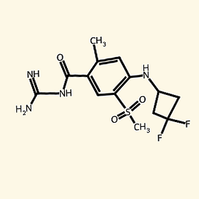 Cc1cc(NC2CC(F)(F)C2)c(S(C)(=O)=O)cc1C(=O)NC(=N)N